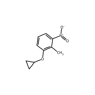 Cc1c(OC2CC2)cccc1[N+](=O)[O-]